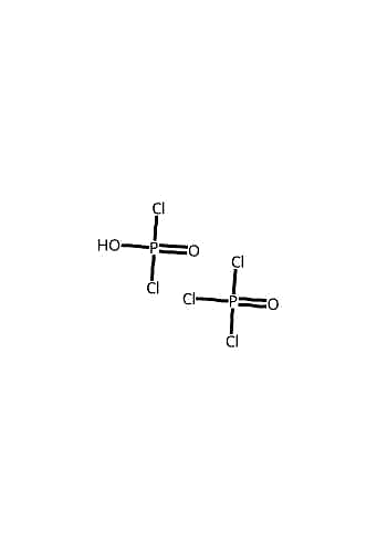 O=P(Cl)(Cl)Cl.O=P(O)(Cl)Cl